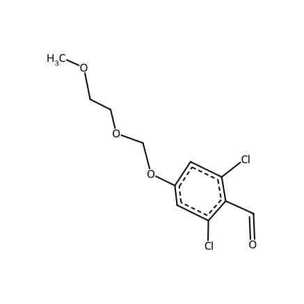 COCCOCOc1cc(Cl)c(C=O)c(Cl)c1